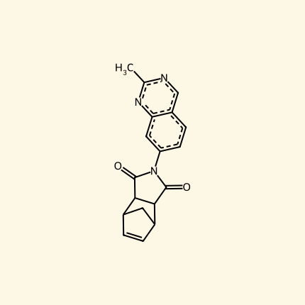 Cc1ncc2ccc(N3C(=O)C4C5C=CC(C5)C4C3=O)cc2n1